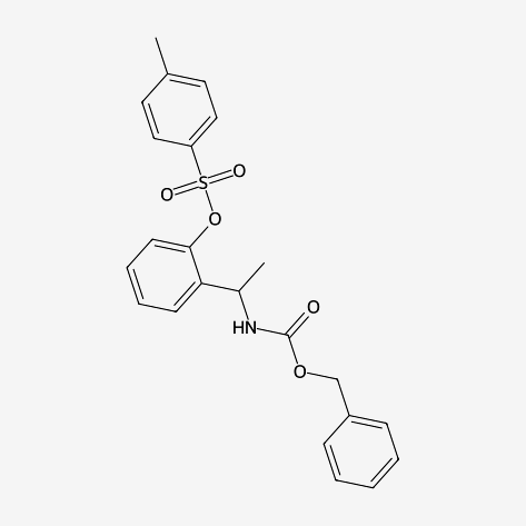 Cc1ccc(S(=O)(=O)Oc2ccccc2C(C)NC(=O)OCc2ccccc2)cc1